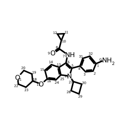 Nc1ccc(-c2c(NC(=O)C3CC3)c3ccc(OC4CCOCC4)cc3n2C2CCC2)cc1